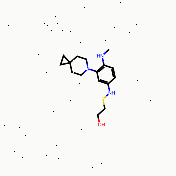 CNc1ccc(NSCCO)cc1N1CCC2(CC1)CC2